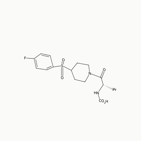 CC(C)[C@H](NC(=O)O)C(=O)N1CCC(S(=O)(=O)c2ccc(F)cc2)CC1